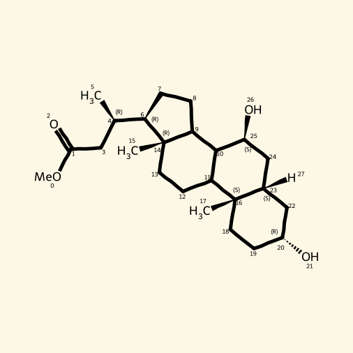 COC(=O)C[C@@H](C)[C@H]1CCC2C3C(CC[C@@]21C)[C@@]1(C)CC[C@@H](O)C[C@H]1C[C@@H]3O